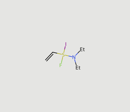 C=CS(F)(I)N(CC)CC